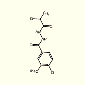 COc1cc(C(=O)NNC(=O)C(C)Cl)ccc1Cl